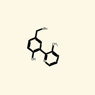 Cc1cccnc1-c1cc(CC(C)(C)C)ccc1O